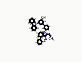 C=Nc1c(/C=C\C)n(-c2cccc(-c3cc(C#N)cc(-n4c5ccccc5c5ccccc54)c3)c2)c2ccc3sc4ccccc4c3c12